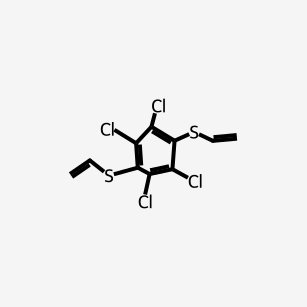 C=CSc1c(Cl)c(Cl)c(SC=C)c(Cl)c1Cl